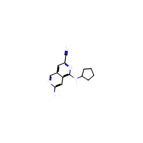 N#Cc1cc2cnc(N)cc2c(NC2CCCC2)n1